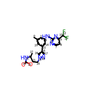 Cc1cc(Nc2nccc(C(F)F)n2)cc(-c2cnn(CC3OC(=O)NC3C)c2)c1